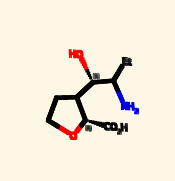 CCC(N)[C@@H](O)C1CCO[C@H]1C(=O)O